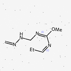 C=NNC/N=C(\N=C/CC)OC